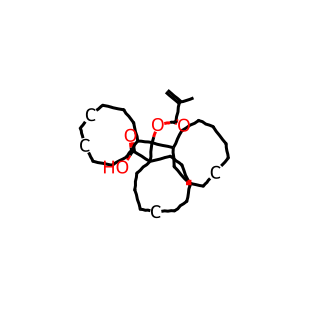 C=C(C)C(=O)OC(C1CCCCCCCCC1)(C1CCCCCCCCC1)C1(C(=O)O)CCCCCCCCC1